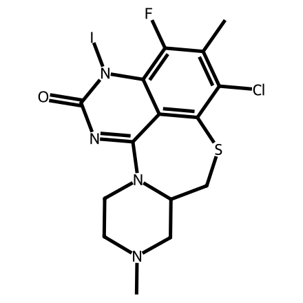 Cc1c(Cl)c2c3c(nc(=O)n(I)c3c1F)N1CCN(C)CC1CS2